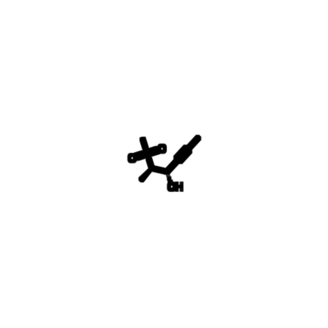 CC#C[C@H](O)[C@@H](C)S(C)(=O)=O